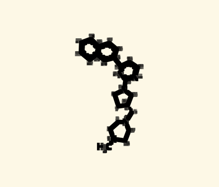 CN1CCN(C[C@@H]2CCN(c3nccc(-c4ccc5ccccc5c4)n3)C2)CC1